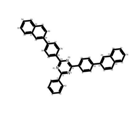 c1ccc(-c2nc(-c3ccc(-c4ccc5ccccc5c4)cc3)nc(-c3ccc(-c4ccc5ccccc5c4)cc3)n2)cc1